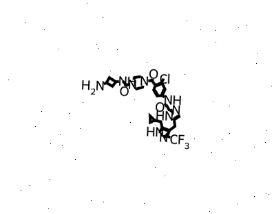 NC1CC(NC(=O)N2CCN(C(=O)c3ccc(NC(=O)c4ncc(Cc5c(C(F)(F)F)n[nH]c5CC5CC5)[nH]4)cc3Cl)CC2)C1